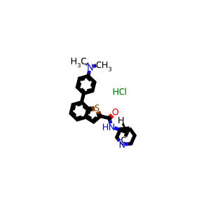 CN(C)c1ccc(-c2cccc3cc(C(=O)N[C@H]4CN5CCC4CC5)sc23)cc1.Cl